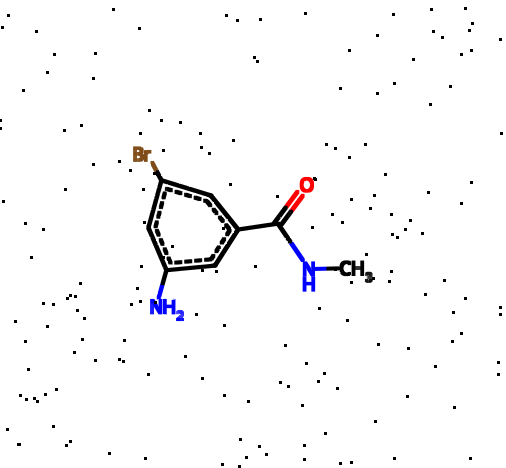 CNC(=O)c1cc(N)cc(Br)c1